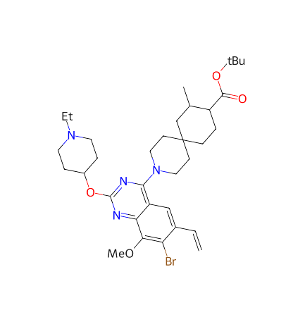 C=Cc1cc2c(N3CCC4(CCC(C(=O)OC(C)(C)C)C(C)C4)CC3)nc(OC3CCN(CC)CC3)nc2c(OC)c1Br